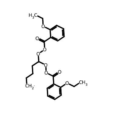 [CH2]CCC[C](OOC(=O)c1ccccc1OCC)OOC(=O)c1ccccc1OCC